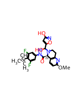 COc1ccc2c(n1)CCN(C(O)c1cc(O)no1)[C@@H]2C(=O)Nc1cc(F)c([Si](C)(C)C)c(F)c1